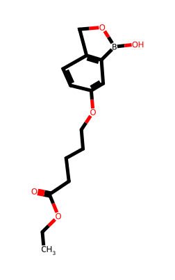 CCOC(=O)CCCCOc1ccc2c(c1)B(O)OC2